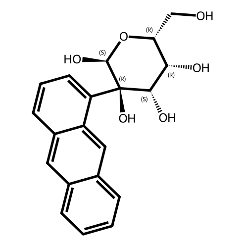 OC[C@H]1O[C@H](O)[C@@](O)(c2cccc3cc4ccccc4cc23)[C@@H](O)[C@H]1O